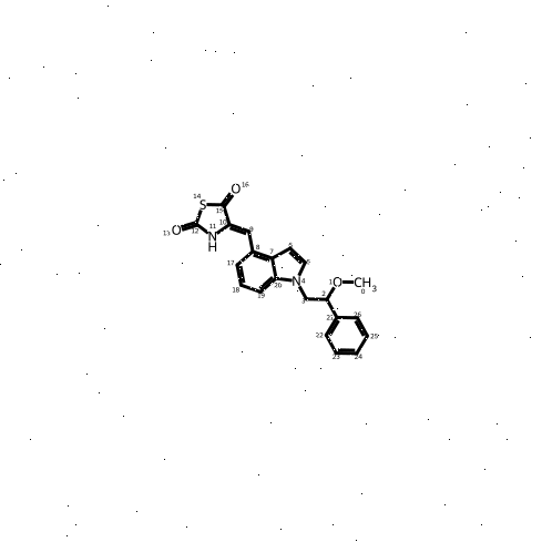 COC(Cn1ccc2c(C=C3NC(=O)SC3=O)cccc21)c1ccccc1